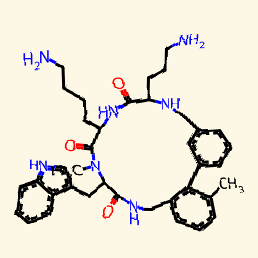 Cc1cccc2c1-c1cccc(c1)CNC(CCCN)C(=O)NC(CCCCN)C(=O)N(C)C(Cc1c[nH]c3ccccc13)C(=O)NC2